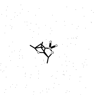 CC12CC3C(O1)C(C)(OS3(=O)=O)C2(C)C